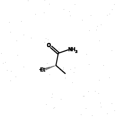 C[CH][C@@H](C)C(N)=O